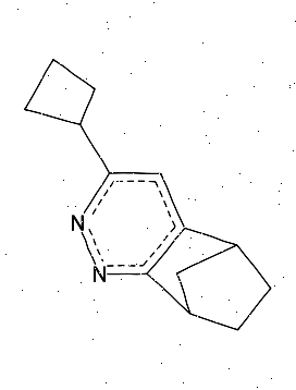 c1c(C2CCC2)nnc2c1C1CCC2C1